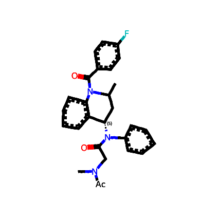 CC(=O)N(C)CC(=O)N(c1ccccc1)[C@H]1CC(C)N(C(=O)c2ccc(F)cc2)c2ccccc21